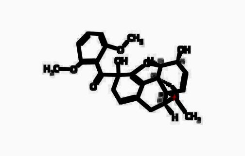 COc1cccc(OC)c1C(=O)C1(O)CC=C2C[C@@H]3[C@@H]4C=C[C@H](O)[C@@H]5OC1=C2[C@]45CCN3C